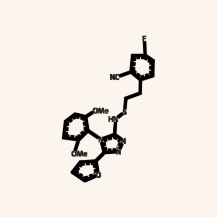 COc1cccc(OC)c1-n1c(NSCCc2ccc(F)cc2C#N)nnc1-c1ccco1